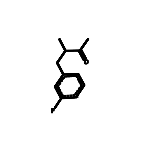 CC(=O)C(C)Cc1cc[c]c(F)c1